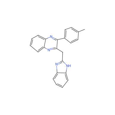 Cc1ccc(-c2nc3ccccc3nc2Cc2nc3ccccc3[nH]2)cc1